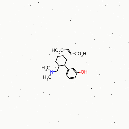 CN(C)CC1CCCCC1c1cccc(O)c1.O=C(O)C=CC(=O)O